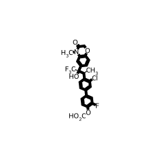 C[C@H](c1ccc(-c2ccc(OC(=O)O)c(F)c2)cc1Cl)[C@@](O)(c1ccc2c(c1)N(C)C(=O)CO2)C(F)(F)F